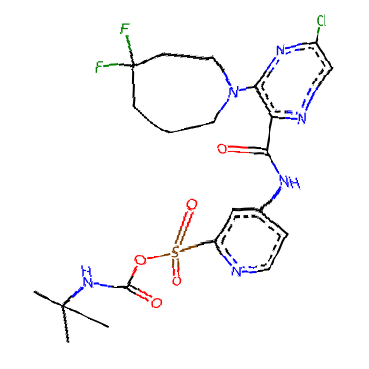 CC(C)(C)NC(=O)OS(=O)(=O)c1cc(NC(=O)c2ncc(Cl)nc2N2CCCC(F)(F)CC2)ccn1